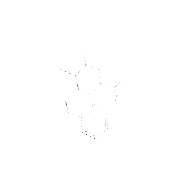 Fc1c(F)c2ccc3cccc4cc(F)c(c1F)c2c34